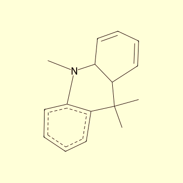 CN1c2ccccc2C(C)(C)C2C=CC=CC21